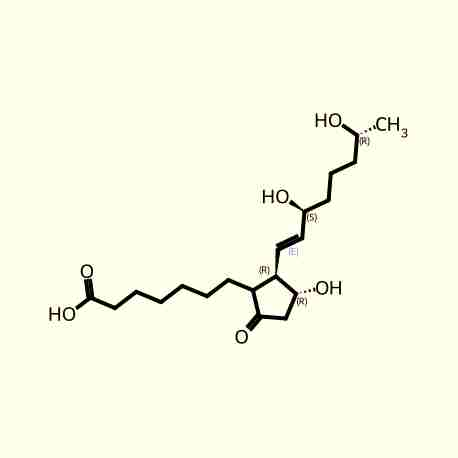 C[C@@H](O)CCC[C@H](O)/C=C/[C@@H]1C(CCCCCCC(=O)O)C(=O)C[C@H]1O